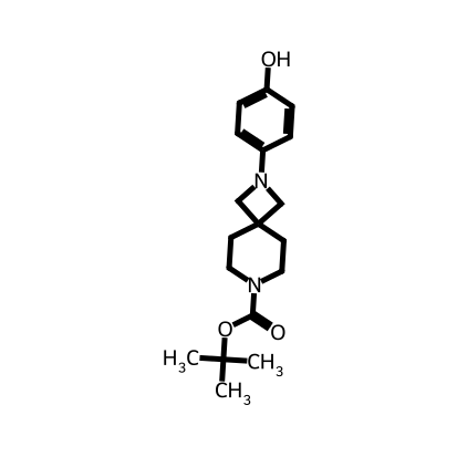 CC(C)(C)OC(=O)N1CCC2(CC1)CN(c1ccc(O)cc1)C2